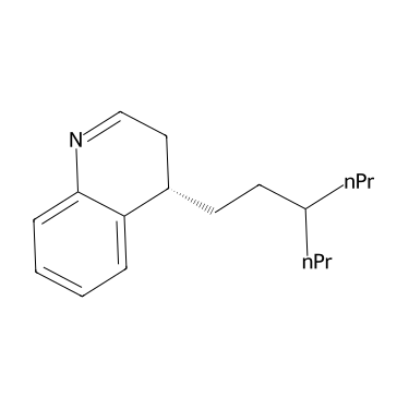 CCCC(CCC)CC[C@H]1CC=Nc2ccccc21